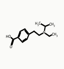 CCN(CCc1ccc(C(=O)O)cc1)C(C)C